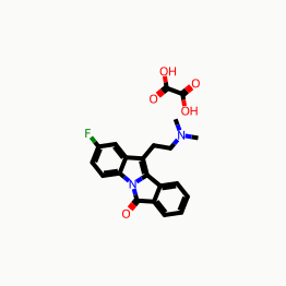 CN(C)CCc1c2n(c3ccc(F)cc13)C(=O)c1ccccc1-2.O=C(O)C(=O)O